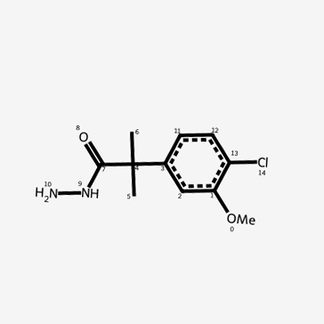 COc1cc(C(C)(C)C(=O)NN)ccc1Cl